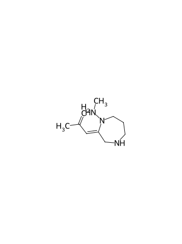 C=C(C)/C=C1/CNCCCN1NC